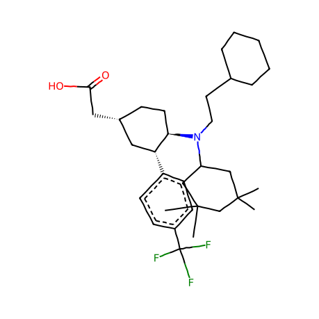 CC1(C)CC(N(CCC2CCCCC2)[C@@H]2CC[C@@H](CC(=O)O)C[C@H]2c2ccc(C(F)(F)F)cc2)CC(C)(C)C1